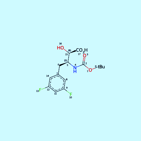 CC(C)(C)OC(=O)N[C@@H](Cc1cc(F)cc(F)c1)[C@@H](O)C(=O)O